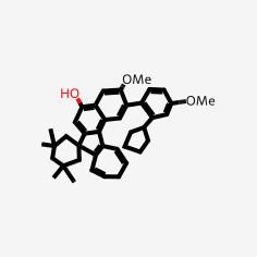 COc1ccc(-c2cc3c4c(cc(O)c3cc2OC)C2(CC(C)(C)CC(C)(C)C2)C2=C4C=CCC=C2)c(C2CCCC2)c1